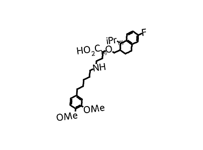 COc1ccc(CCCCCNCC[C@@H](OCC2CCc3cc(F)ccc3[C@@H]2C(C)C)C(=O)O)cc1OC